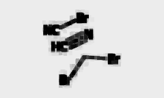 BrCBr.C#N.N#CBr